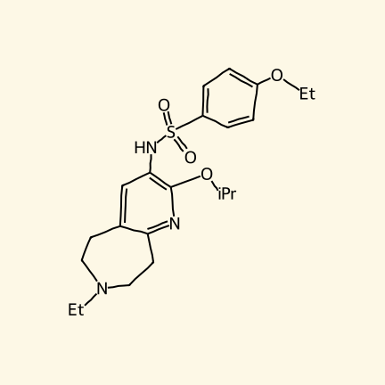 CCOc1ccc(S(=O)(=O)Nc2cc3c(nc2OC(C)C)CCN(CC)CC3)cc1